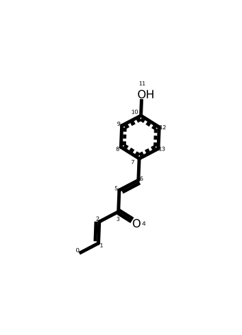 CC=CC(=O)C=Cc1ccc(O)cc1